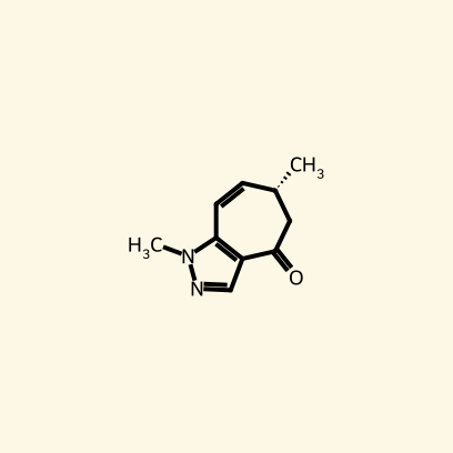 C[C@H]1C=Cc2c(cnn2C)C(=O)C1